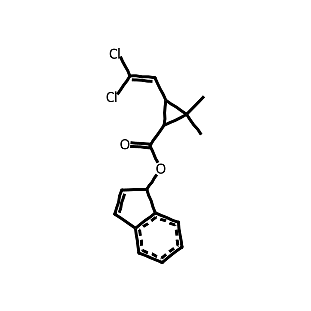 CC1(C)C(C=C(Cl)Cl)C1C(=O)OC1C=Cc2ccccc21